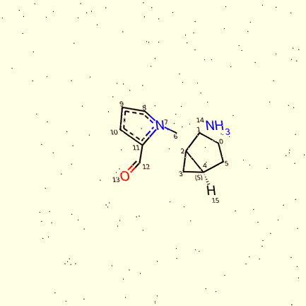 C1CC2C[C@@H]2C1.Cn1cccc1C=O.N